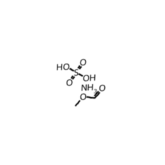 COC=O.N.O=S(=O)(O)O